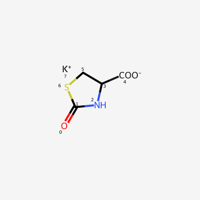 O=C1NC(C(=O)[O-])CS1.[K+]